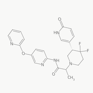 CC(C(=O)Nc1ccc(Oc2ccccn2)cn1)N1CCC(F)(F)[C@@H](c2ccc(=O)[nH]c2)C1